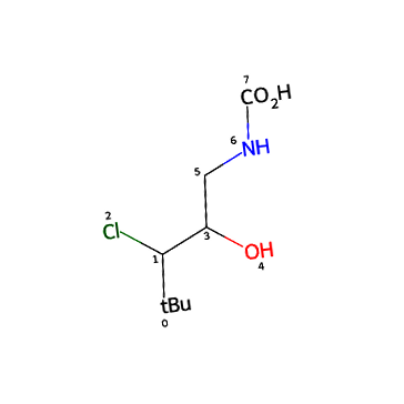 CC(C)(C)C(Cl)C(O)CNC(=O)O